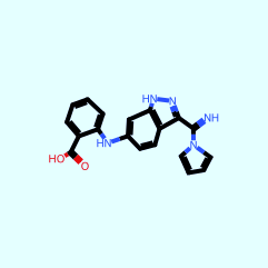 N=C(c1n[nH]c2cc(Nc3ccccc3C(=O)O)ccc12)n1cccc1